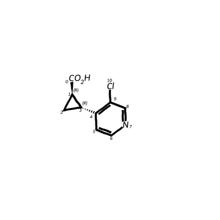 O=C(O)[C@@H]1C[C@H]1c1ccncc1Cl